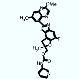 COc1cnc2c(-c3nc4cc(F)c5c(c4s3)C[C@@](C)(COC(=O)Nc3cccnc3)O5)cc(C)cc2n1